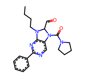 CCCCN1c2nc(-c3ccccc3)ncc2N(C(=O)N2CCCC2)C1C=O